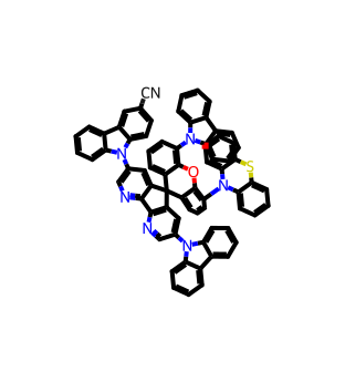 N#Cc1ccc2c(c1)c1ccccc1n2-c1cnc2c(c1)C1(c3cc(-n4c5ccccc5c5ccccc54)cnc3-2)c2cccc(N3c4ccccc4Sc4ccccc43)c2Oc2c(-n3c4ccccc4c4ccccc43)cccc21